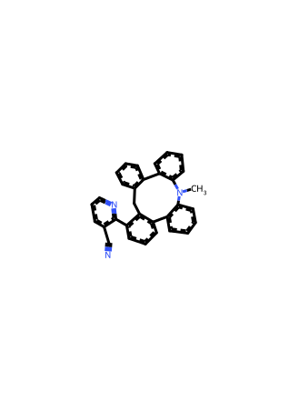 CN1c2ccccc2-c2ccccc2Cc2c(cccc2-c2ncccc2C#N)-c2ccccc21